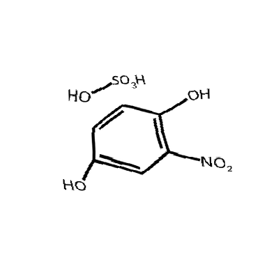 O=S(=O)(O)O.O=[N+]([O-])c1cc(O)ccc1O